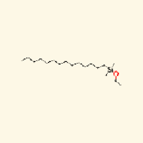 CCCCCCCCCCCCCC[Si](C)(C)OCC